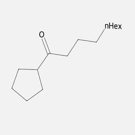 CCCCCCCCCC(=O)C1CCCC1